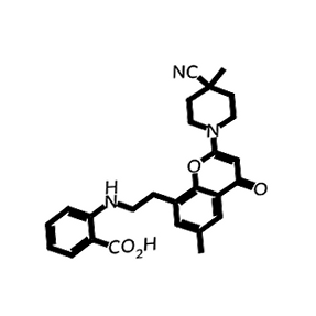 Cc1cc(CCNc2ccccc2C(=O)O)c2oc(N3CCC(C)(C#N)CC3)cc(=O)c2c1